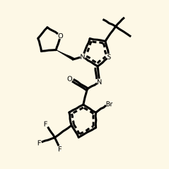 CC(C)(C)c1cn(C[C@H]2CCCO2)c(=NC(=O)c2cc(C(F)(F)F)ccc2Br)s1